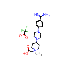 C[N+]1(CC(=O)O)CCC(N2CCN(c3ccc(C(=N)N)cc3)CC2)CC1.O=C([O-])C(F)(F)F